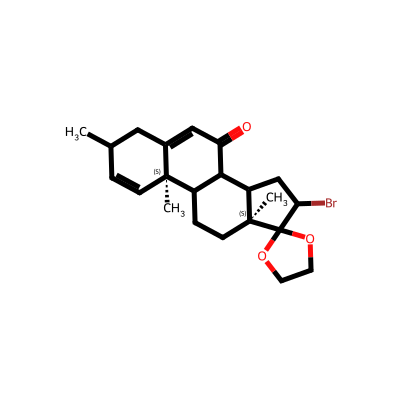 CC1C=C[C@@]2(C)C(=CC(=O)C3C2CC[C@@]2(C)C3CC(Br)C23OCCO3)C1